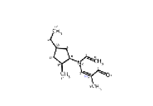 C=CN(/C=C(/C)C=O)C1CC(CC)CC1C